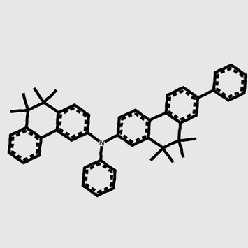 CC1(C)c2ccccc2-c2cc(N(c3ccccc3)c3ccc4c(c3)C(C)(C)C(C)(C)c3cc(-c5ccccc5)ccc3-4)ccc2C1(C)C